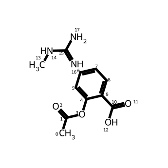 CC(=O)Oc1ccccc1C(=O)O.CNC(=N)N